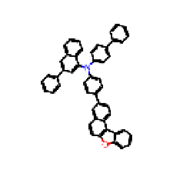 c1ccc(-c2ccc(N(c3ccc(-c4ccc5c(ccc6oc7ccccc7c65)c4)cc3)c3cc(-c4ccccc4)cc4ccccc34)cc2)cc1